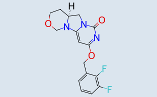 O=c1nc(OCc2cccc(F)c2F)cc2n1C[C@@H]1CCOCN21